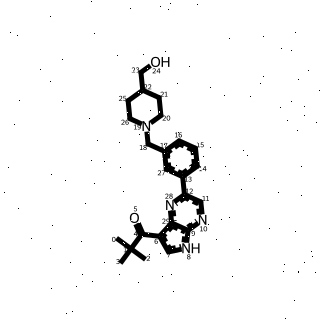 CC(C)(C)C(=O)c1c[nH]c2ncc(-c3cccc(CN4CCC(CO)CC4)c3)nc12